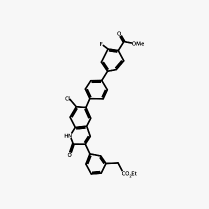 CCOC(=O)Cc1cccc(-c2cc3cc(-c4ccc(-c5ccc(C(=O)OC)c(F)c5)cc4)c(Cl)cc3[nH]c2=O)c1